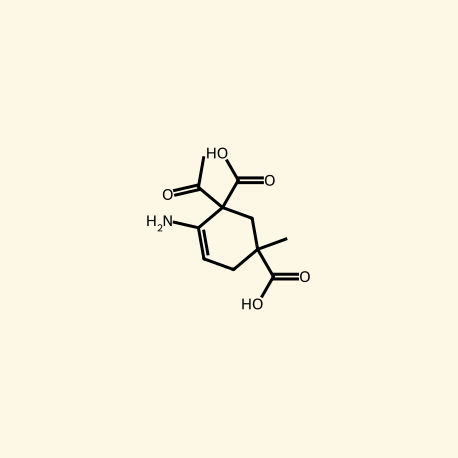 CC(=O)C1(C(=O)O)CC(C)(C(=O)O)CC=C1N